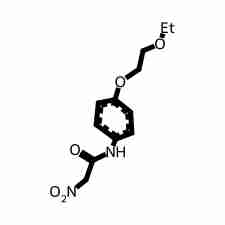 CCOCCOc1ccc(NC(=O)C[N+](=O)[O-])cc1